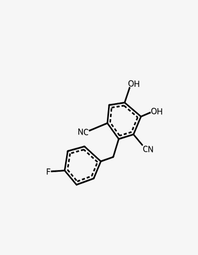 N#Cc1cc(O)c(O)c(C#N)c1Cc1ccc(F)cc1